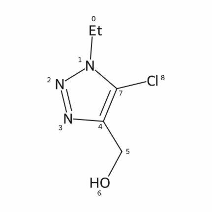 CCn1nnc(CO)c1Cl